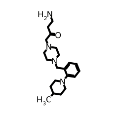 CC1CCN(c2ccccc2CN2CCN(CC(=O)CCN)CC2)CC1